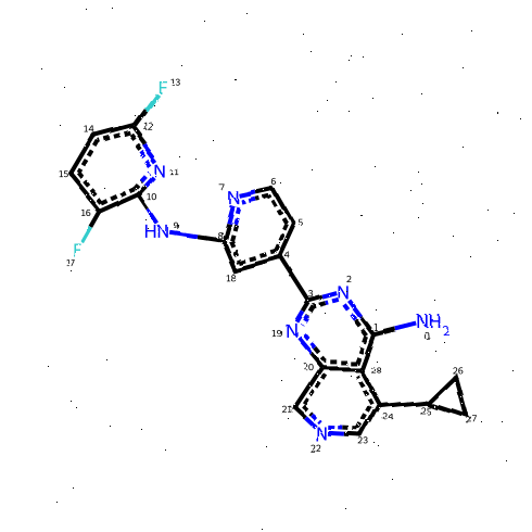 Nc1nc(-c2ccnc(Nc3nc(F)ccc3F)c2)nc2cncc(C3CC3)c12